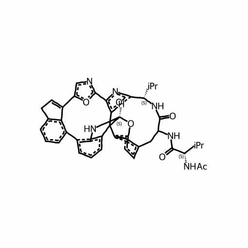 CC(=O)N[C@H](C(=O)NC1Cc2ccc3c(c2)C24c5cccc(c5N[C@H]2O3)-c2cccc3c2C(=CC3)c2cnc(o2)-c2nc(oc24)[C@H](C(C)C)NC1=O)C(C)C